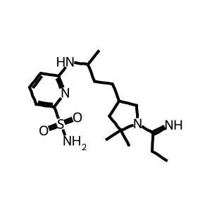 CCC(=N)N1CC(CCC(C)Nc2cccc(S(N)(=O)=O)n2)CC1(C)C